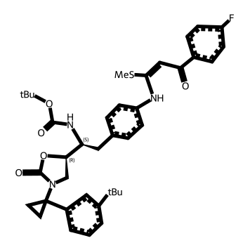 CSC(=CC(=O)c1ccc(F)cc1)Nc1ccc(C[C@H](NC(=O)OC(C)(C)C)[C@H]2CN(C3(c4cccc(C(C)(C)C)c4)CC3)C(=O)O2)cc1